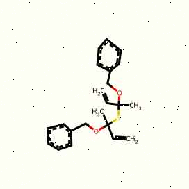 C=CC(C)(OCc1ccccc1)SC(C)(C=C)OCc1ccccc1